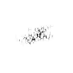 C[Si](C)(C)C.C[Si](C)(C)C.C[Si](C)(C)C.C[Si](C)(C)NC(C[SiH2]O[SiH3])(N[Si](C)(C)C)N[Si](C)(C)C